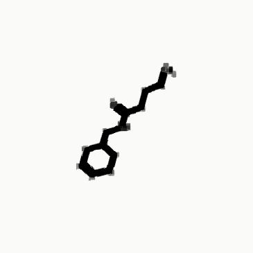 CCCCC(=O)NCC1CCCCC1